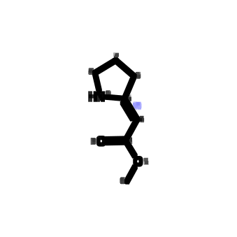 COC(=O)/C=C1/CCCN1